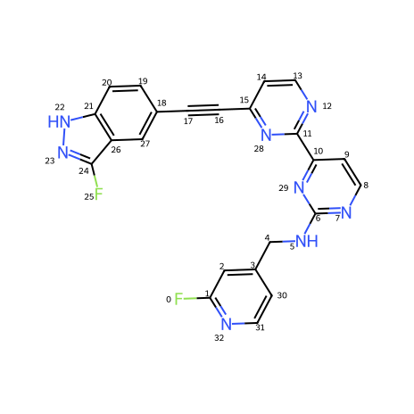 Fc1cc(CNc2nccc(-c3nccc(C#Cc4ccc5[nH]nc(F)c5c4)n3)n2)ccn1